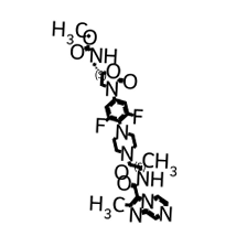 COC(=O)NC[C@H]1CN(c2cc(F)c(N3CCN(C(=O)[C@H](C)NC(=O)c4c(C)nc5cnccn45)CC3)c(F)c2)C(=O)O1